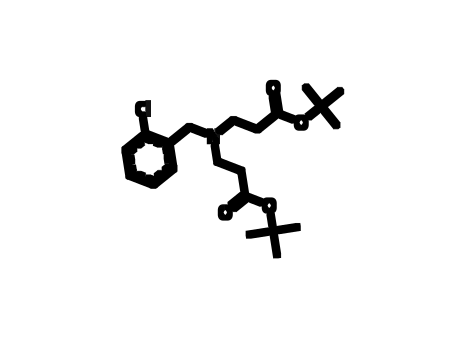 CC(C)(C)OC(=O)CCN(CCC(=O)OC(C)(C)C)Cc1ccccc1Cl